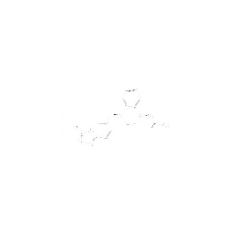 CC(C)(C)c1nnc2ccc(O[C@@H]3CC[C@H](NC(N)=O)c4ccccc43)cn12